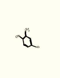 C=C1C=C(N=O)C=CC1N=O